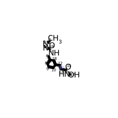 Cc1nnc(NCc2cccc(/C=C/C(=O)NO)c2)o1